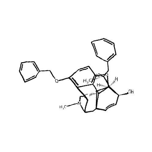 CN1CC[C@@]23c4c5ccc(OCc6ccccc6)c4CC1C21C=C[C@@](O)([C@H]([C@@](C)(O)Cc2ccccc2)C1)[C@@H]3O5